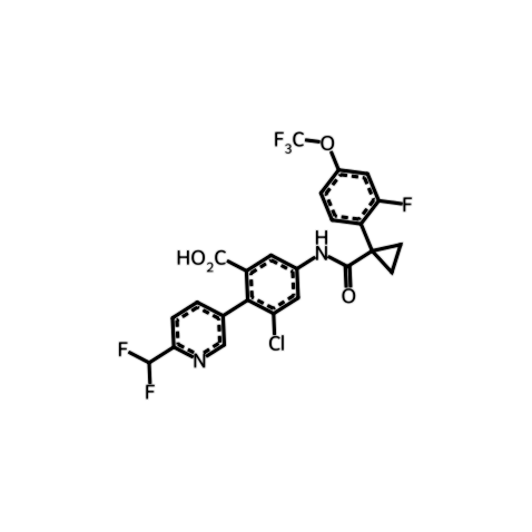 O=C(O)c1cc(NC(=O)C2(c3ccc(OC(F)(F)F)cc3F)CC2)cc(Cl)c1-c1ccc(C(F)F)nc1